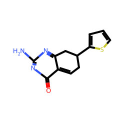 NC1=NC(=O)C2=CCC(c3cccs3)CC2=N1